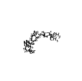 CN(C)[C@H]1CCN(c2cnc3ccc(Sc4nnc5ccc(Br)cn45)cc3c2)C1